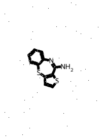 NC1=Nc2ccccc2Sc2ccsc21